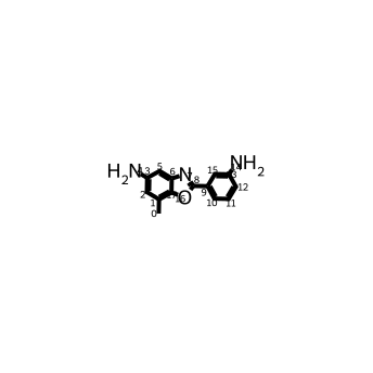 Cc1cc(N)cc2nc(-c3cccc(N)c3)oc12